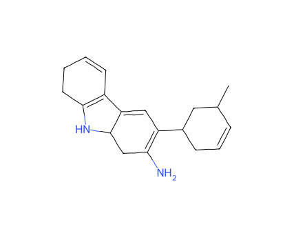 CC1C=CCC(C2=C(N)CC3NC4=C(C=CCC4)C3=C2)C1